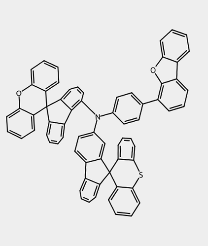 c1ccc2c(c1)Oc1ccccc1C21c2ccccc2-c2c(N(c3ccc(-c4cccc5c4oc4ccccc45)cc3)c3ccc4c(c3)C3(c5ccccc5Sc5ccccc53)c3ccccc3-4)cccc21